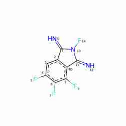 N=C1c2cc(F)c(F)c(F)c2C(=N)N1F